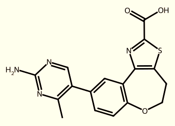 Cc1nc(N)ncc1-c1ccc2c(c1)-c1nc(C(=O)O)sc1CCO2